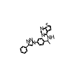 CC(Nc1ncnc2sccc12)c1ccc(-n2cc(-c3ccccc3)nn2)cc1